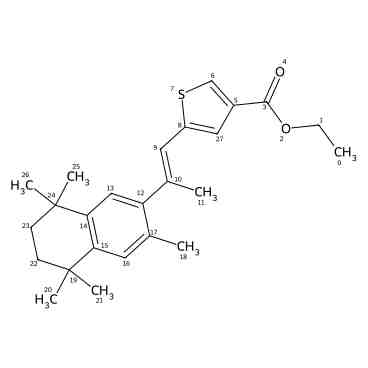 CCOC(=O)c1csc(/C=C(\C)c2cc3c(cc2C)C(C)(C)CCC3(C)C)c1